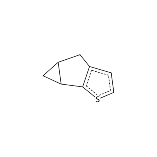 c1cc2c(s1)C1CC1C2